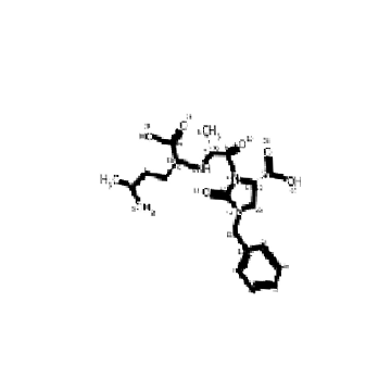 CC(C)CC[C@H](N[C@H](C)C(=O)N1C(=O)N(Cc2ccccc2)C[C@H]1C(=O)O)C(=O)O